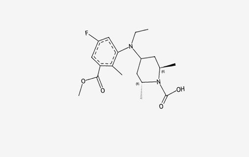 CCN(c1cc(F)cc(C(=O)OC)c1C)C1C[C@@H](C)N(C(=O)O)[C@H](C)C1